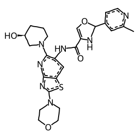 Cc1cc(C2NC(C(=O)Nc3cc4sc(N5CCOCC5)nc4nc3N3CCC[C@H](O)C3)=CO2)ccn1